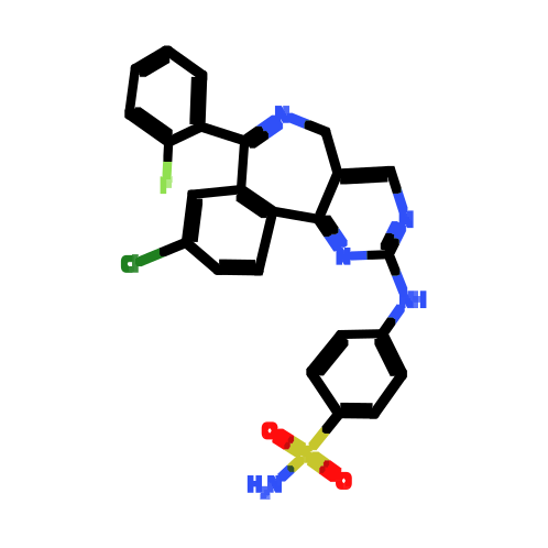 NS(=O)(=O)c1ccc(Nc2ncc3c(n2)-c2ccc(Cl)cc2C(c2ccccc2F)=NC3)cc1